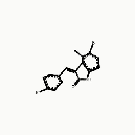 Cc1c(Br)ccc2c1C(=Cc1ccc(C(C)C)cc1)C(=O)N2